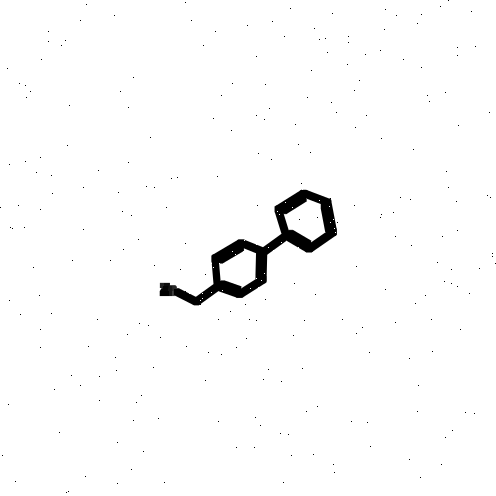 [Zn][CH2]c1ccc(-c2ccccc2)cc1